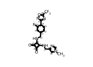 Cn1cnc(CNc2c(NCc3ccc(-c4noc(C(F)(F)F)n4)c(F)c3)c(=O)c2=O)c1